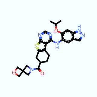 CC(C)Oc1cc2[nH]ncc2cc1Nc1ncnc2sc3c(c12)CCC(C(=O)N1CC2(COC2)C1)C3